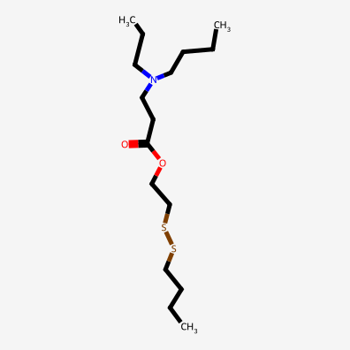 CCCCSSCCOC(=O)CCN(CCC)CCCC